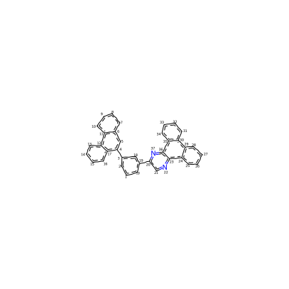 [c]1ccc(-c2cc3ccccc3c3ccccc23)cc1-c1cnc2c3ccccc3c3ccccc3c2n1